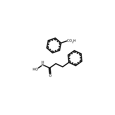 O=C(CCc1ccccc1)NO.O=C(O)c1ccccc1